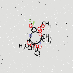 COCOc1cc(OC(F)F)cc2c1C(=O)O[C@@H](C)[C@H](C)/C=C\C(OC(=O)c1ccccc1)[C@H]1OC(C)(C)O[C@H]1C/C=C/2